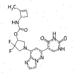 CC1=CCC1NC(=O)OC1CN(c2cc(-c3c[nH]c(=O)[nH]c3=O)nn3ccnc23)CC1(F)F